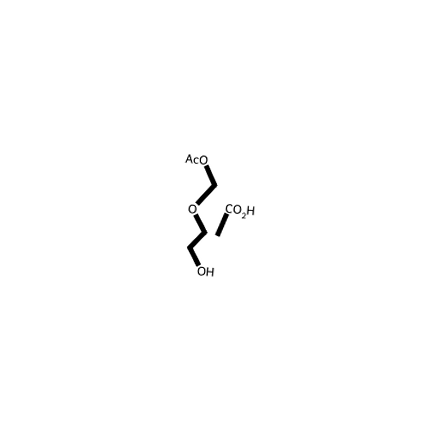 CC(=O)O.CC(=O)OCOCCO